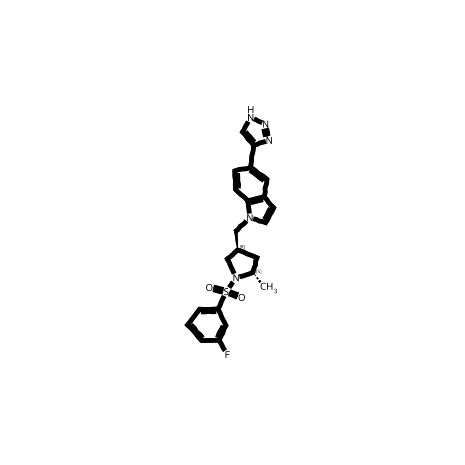 C[C@H]1C[C@H](Cn2ccc3cc(-c4c[nH]nn4)ccc32)CN1S(=O)(=O)c1cccc(F)c1